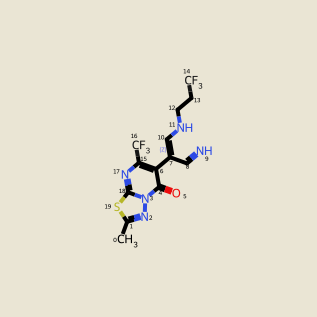 Cc1nn2c(=O)c(/C(C=N)=C/NCCC(F)(F)F)c(C(F)(F)F)nc2s1